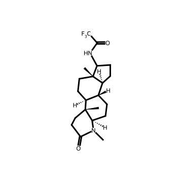 CN1C(=O)CC[C@]2(C)[C@H]3CC[C@]4(C)C(NC(=O)C(F)(F)F)CC[C@H]4[C@@H]3CC[C@@H]12